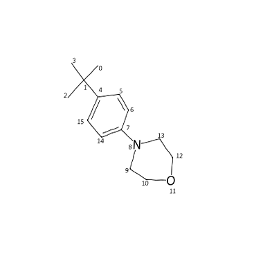 CC(C)(C)c1ccc(N2CCOCC2)cc1